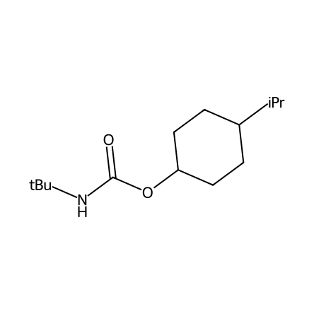 CC(C)C1CCC(OC(=O)NC(C)(C)C)CC1